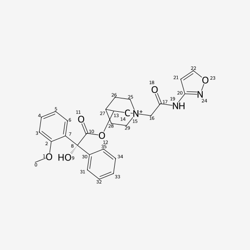 COc1ccccc1[C@@](O)(C(=O)OC1C[N+]2(CC(=O)Nc3ccon3)CCC1CC2)c1ccccc1